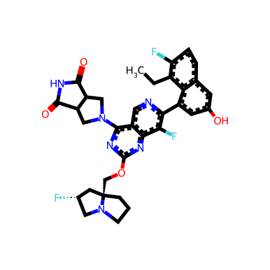 CCc1c(F)ccc2cc(O)cc(-c3ncc4c(N5CC6C(=O)NC(=O)C6C5)nc(OC[C@@]56CCCN5C[C@H](F)C6)nc4c3F)c12